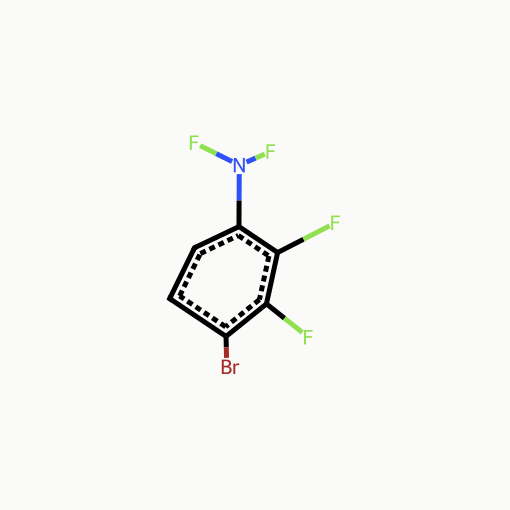 Fc1c(Br)ccc(N(F)F)c1F